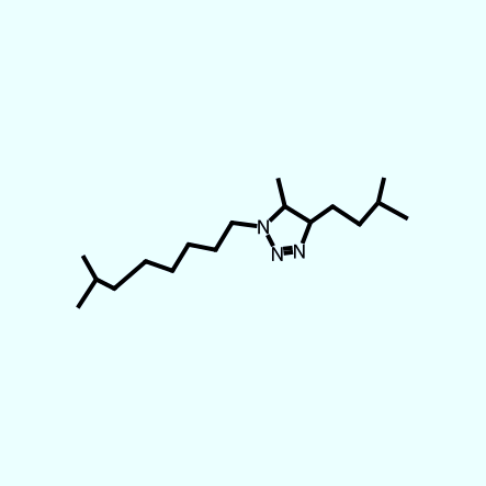 CC(C)CCCCCCN1N=NC(CCC(C)C)C1C